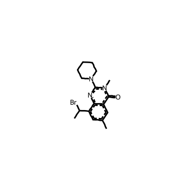 Cc1cc(C(C)Br)c2nc(N3CCCCC3)n(C)c(=O)c2c1